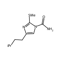 CSc1nc(CCC(C)C)cn1C(N)=O